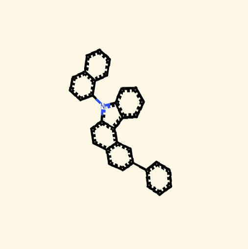 c1ccc(-c2ccc3ccc4c(c3c2)c2ccccc2n4-c2cccc3ccccc23)cc1